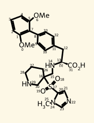 COc1cccc(OC)c1-c1ccc(C[C@H](NCC2(S(=O)(=O)c3cncn3C)CCCNC2)C(=O)O)cc1